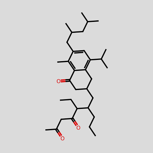 CCCC(CC1CC(=O)c2c(C)c(CC(C)CC(C)C)cc(C(C)C)c2C1)C(CC)C(=O)CC(C)=O